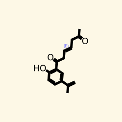 C=C(C)c1ccc(O)c(C(=O)C/C=C/CC(C)=O)c1